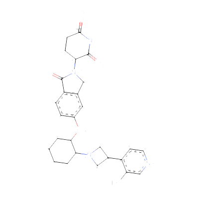 Cc1cnccc1C1CN(C2CCCCC2Oc2ccc3c(c2)CN(C2CCC(=O)NC2=O)C3=O)C1